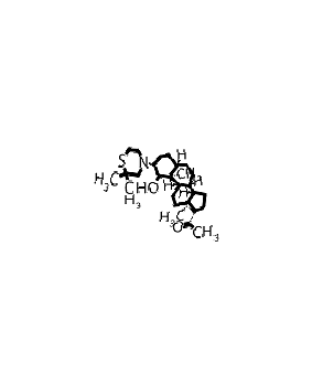 CC(=O)[C@H]1CC[C@H]2[C@@H]3CC[C@H]4CC[C@@H](N5CCSC(C)(C)C5)C(O)[C@]4(C)[C@H]3CC[C@]12C